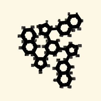 c1ccc2cc(-c3cscc3-c3cc(-c4cscc4-c4ccc5ccccc5c4)cc(-c4cscc4-c4ccc5ccccc5c4)c3)ccc2c1